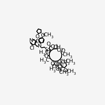 COc1ccc(N(CCS[C@@H]2C(=O)O[C@@]3(C)[C@H]2[C@@H](C)C(=O)[C@H](C)C[C@@](C)(OC)[C@H](O[C@@H]2O[C@H](C)C[C@@H](OC)[C@@H]2N(C)C)[C@@H](C)C[C@@H](C)C(=O)O[C@@H]3I)Cc2c(Cl)cncc2Cl)cc1OC1CCCC1